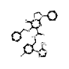 Cc1ncnn1-c1cc(F)ccc1CNC(=O)c1nc2n(c(=O)c1OCc1ccccc1)CCN2c1ccccc1